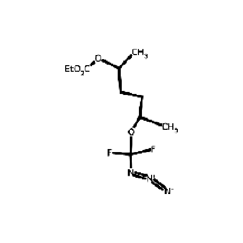 CCOC(=O)OC(C)CCC(C)OC(F)(F)N=[N+]=[N-]